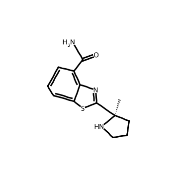 C[C@]1(c2nc3c(C(N)=O)cccc3s2)CCCN1